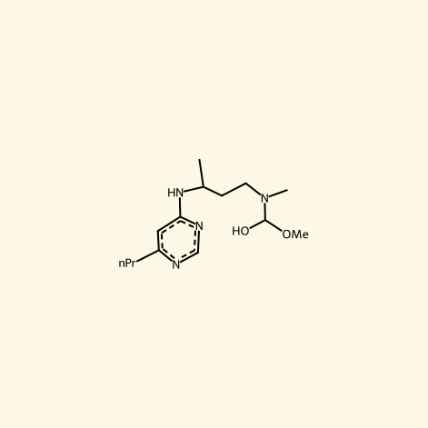 CCCc1cc(NC(C)CCN(C)C(O)OC)ncn1